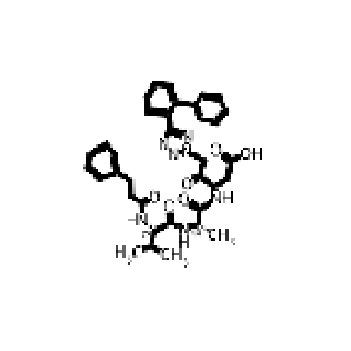 CC(C)[C@H](NC(=O)CCc1ccccc1)C(=O)N[C@@H](C)C(=O)NC(CC(=O)O)C(=O)Cn1nnc(-c2ccccc2-c2ccccc2)n1